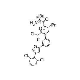 CC[C@H](C)[C@H](N)C(=O)NC(CN(C(=O)C(Cl)Cl)c1cccc(-c2cc(-c3c(Cl)cccc3Cl)no2)c1)C(C)C